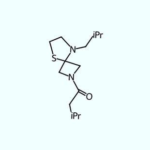 CC(C)CC(=O)N1CC2(C1)SCCN2CC(C)C